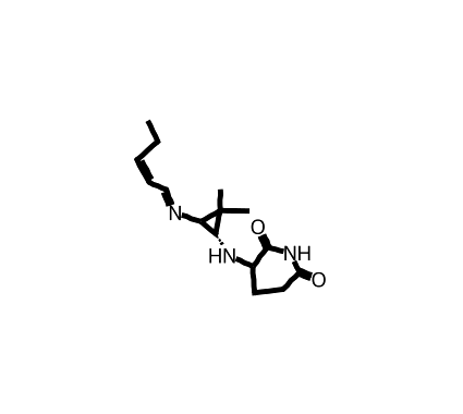 CC/C=C\C=NC1[C@@H](NC2CCC(=O)NC2=O)C1(C)C